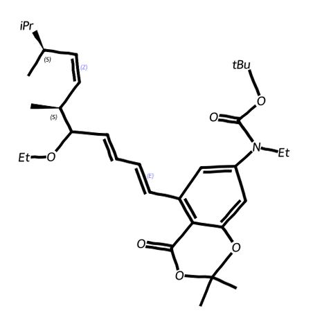 CCOC(C=C/C=C/c1cc(N(CC)C(=O)OC(C)(C)C)cc2c1C(=O)OC(C)(C)O2)[C@@H](C)/C=C\[C@@H](C)C(C)C